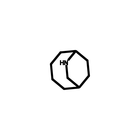 C1CCC2CCC(C1)CN2